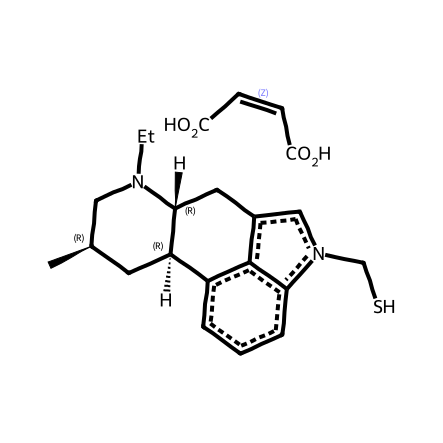 CCN1C[C@H](C)C[C@@H]2c3cccc4c3c(cn4CS)C[C@H]21.O=C(O)/C=C\C(=O)O